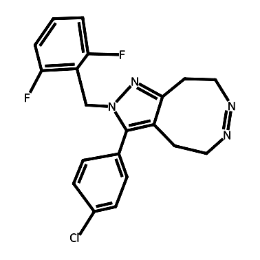 Fc1cccc(F)c1Cn1nc2c(c1-c1ccc(Cl)cc1)CCN=NCC2